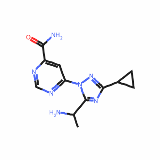 CC(N)c1nc(C2CC2)nn1-c1cc(C(N)=O)ncn1